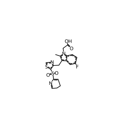 Cc1c(Cc2ncsc2S(=O)(=O)C2=CCCC=N2)c2cc(F)ccc2n1CC(=O)O